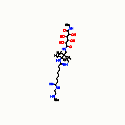 CC(C)(C)NCCNC(=N)CCCCCCC(=N)NC(C)(C)C(C)(C)CNC(=O)[C@H](O)[C@@H](O)[C@@H](O)[C@H](O)C(=O)NC(C)(C)C